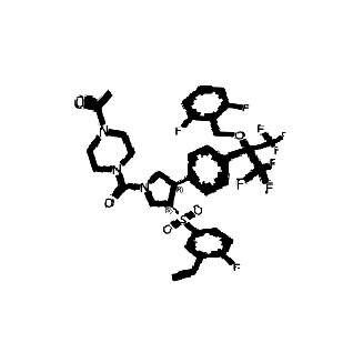 C=Cc1cc(S(=O)(=O)[C@@H]2CN(C(=O)N3CCN(C(C)=O)CC3)C[C@H]2c2ccc(C(OCc3c(F)cccc3F)(C(F)(F)F)C(F)(F)F)cc2)ccc1F